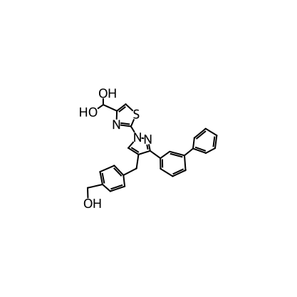 OCc1ccc(Cc2cn(-c3nc(C(O)O)cs3)nc2-c2cccc(-c3ccccc3)c2)cc1